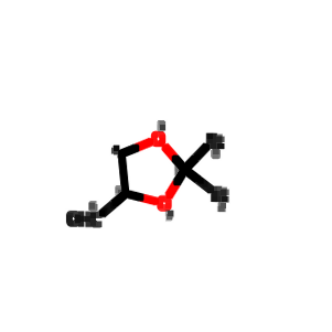 CCC1(CC)OCC(C=O)O1